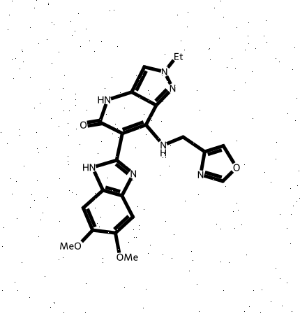 CCn1cc2[nH]c(=O)c(-c3nc4cc(OC)c(OC)cc4[nH]3)c(NCc3cocn3)c2n1